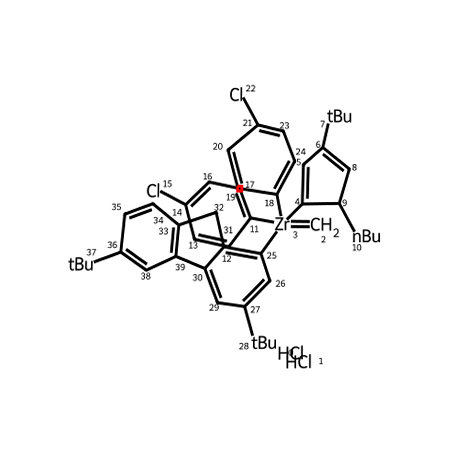 Cl.Cl.[CH2]=[Zr]([C]1=CC(C(C)(C)C)=CC1CCCC)([c]1ccc(Cl)cc1)([c]1ccc(Cl)cc1)[c]1cc(C(C)(C)C)cc2c1Cc1ccc(C(C)(C)C)cc1-2